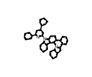 c1ccc(-c2cc(-c3ccccc3)nc(-n3c4ccccc4c4c3ccc3c5ccccc5c5cc6ccccc6n5c34)c2)cc1